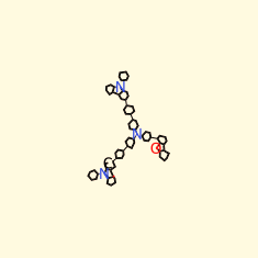 c1ccc(-n2c3ccccc3c3cc(-c4ccc(-c5ccc(N(c6ccc(-c7ccc(-c8ccc9c(c8)c8ccccc8n9-c8ccccc8)cc7)cc6)c6ccc(-c7cccc8c7oc7ccccc78)cc6)cc5)cc4)ccc32)cc1